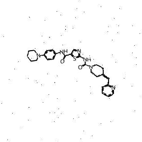 O=C(Nc1ccc(N2CCCCC2)cc1)c1cnc(NC(=O)N2CCC(=Cc3ccccn3)CC2)s1